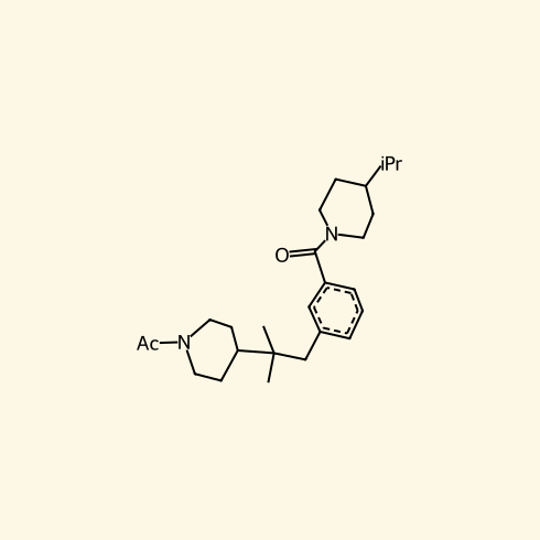 CC(=O)N1CCC(C(C)(C)Cc2cccc(C(=O)N3CCC(C(C)C)CC3)c2)CC1